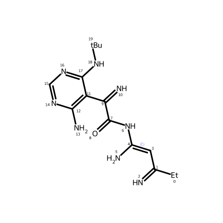 CCC(=N)/C=C(\N)NC(=O)C(=N)c1c(N)ncnc1NC(C)(C)C